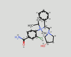 CC(C)[N+](C)(c1ccc(C(N)=O)cc1Cl)[C@H](CN1CC[C@H](O)C1)c1ccccc1